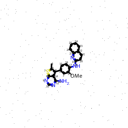 COc1cc(-c2c(C)sc3ncnc(N)c23)ccc1Nc1ccc2ccccc2n1